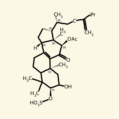 C=C(CC[C@@H](C)[C@H]1CC[C@H]2C3=C(C(=O)[C@H](OC(C)=O)[C@]12C)[C@@]1(C)CC(O)[C@@H](OS(=O)(=O)O)C(C)(C)C1CC3)C(C)C